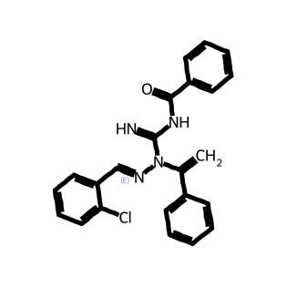 C=C(c1ccccc1)N(/N=C/c1ccccc1Cl)C(=N)NC(=O)c1ccccc1